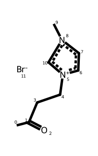 CC(=O)CC[n+]1ccn(C)c1.[Br-]